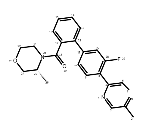 C=C(C)/C=N\C(=C/C)c1ccc(-c2ccccc2C(=O)N2CCOC[C@H]2C)cc1F